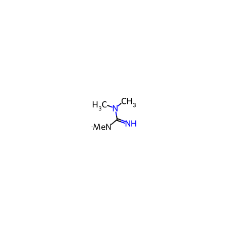 C[N]C(=N)N(C)C